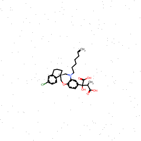 C=CCCCCCN1C[C@@]2(CCCc3cc(Cl)ccc32)COc2ccc(C(O)(C(=O)O)C(C)C(=O)O)cc21